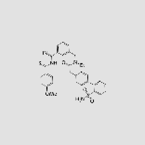 CCN(Cc1cccc(C(=N)NC(=S)c2ccc(OC)cc2)c1)C(=O)Cc1ccc(-c2ccccc2S(N)(=O)=O)cc1